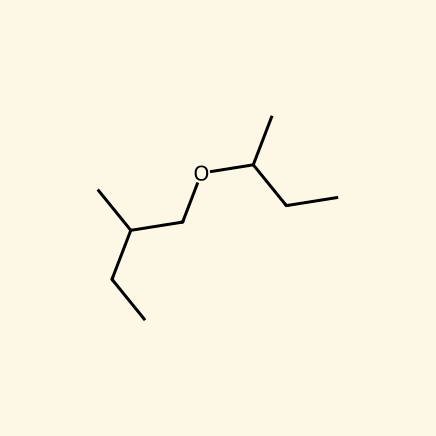 CCC(C)COC(C)CC